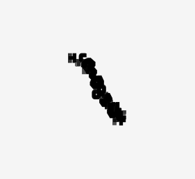 Cc1ccc(CCc2ccc(OC(=O)N3CCN(c4ccc(C(F)(F)F)cn4)CC3)cc2)nc1